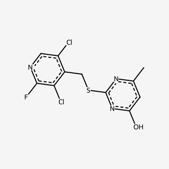 Cc1cc(O)nc(SCc2c(Cl)cnc(F)c2Cl)n1